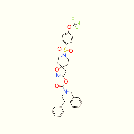 O=C(OC1=NOC2(CCN(S(=O)(=O)c3ccc(OC(F)(F)F)cc3)CC2)C1)N(CCc1ccccc1)Cc1ccccc1